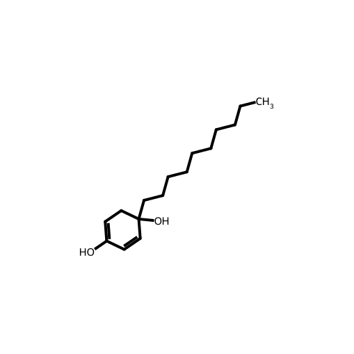 CCCCCCCCCCC1(O)C=CC(O)=CC1